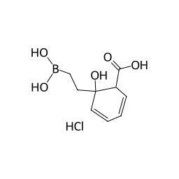 Cl.O=C(O)C1C=CC=CC1(O)CCB(O)O